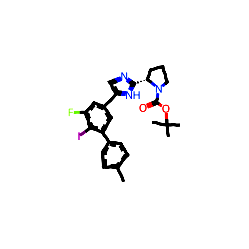 Cc1ccc(-c2cc(-c3cnc([C@@H]4CCCN4C(=O)OC(C)(C)C)[nH]3)cc(F)c2I)cc1